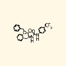 O=C(Nc1ccc(C(F)(F)F)cc1)N[C@@H](Cc1ccccc1)C(=O)OCc1ccccc1